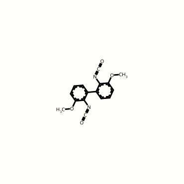 COc1cccc(-c2cccc(OC)c2N=C=O)c1N=C=O